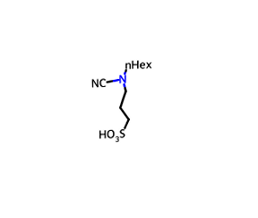 CCCCCCN(C#N)CCCS(=O)(=O)O